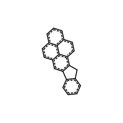 c1ccc2c(c1)Cc1c-2cc2ccc3cccc4ccc1c2c34